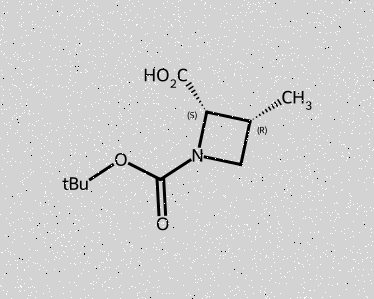 C[C@@H]1CN(C(=O)OC(C)(C)C)[C@@H]1C(=O)O